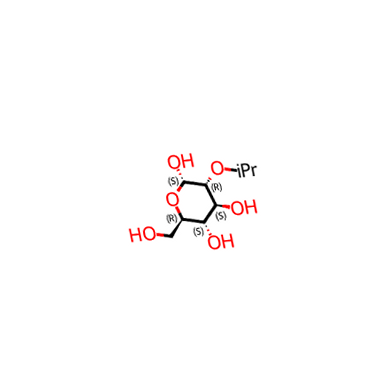 CC(C)O[C@@H]1[C@@H](O)[C@H](O)[C@@H](CO)O[C@@H]1O